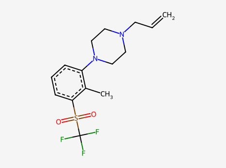 C=CCN1CCN(c2cccc(S(=O)(=O)C(F)(F)F)c2C)CC1